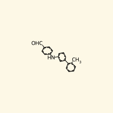 Cc1ccccc1-c1cccc(Nc2ccc(C=O)cc2)c1